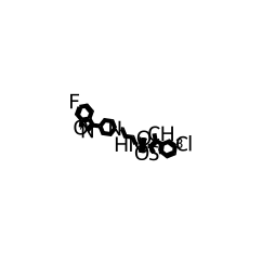 Cc1c(S(=O)(=O)NCCCN2CCC(c3noc4cc(F)ccc34)CC2)sc2ccc(Cl)cc12